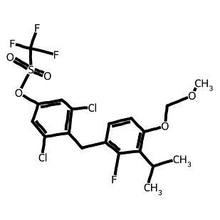 COCOc1ccc(Cc2c(Cl)cc(OS(=O)(=O)C(F)(F)F)cc2Cl)c(F)c1C(C)C